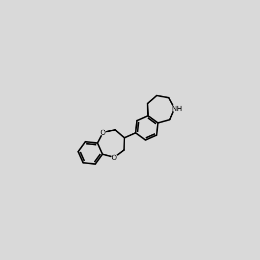 c1ccc2c(c1)OCC(c1ccc3c(c1)CCCNC3)CO2